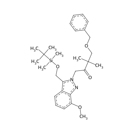 COc1cccc2c(CO[Si](C)(C)C(C)(C)C)n(CC(=O)C(C)(C)COCc3ccccc3)nc12